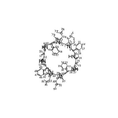 CC1=C(CC(C)C)C2=NC1=C(c1ccccc1)c1ccc([nH]1)C(C)(C)c1ccc([nH]1)/C(c1ccccc1)=C1/N=C(C3=N/C(=C(\c4ccccc4)c4ccc([nH]4)C(C)(C)c4ccc([nH]4)/C(c4ccccc4)=C4/N=C2C(CC(C)C)=C4C)C(C)=C3CC(C)C)C(CC(C)C)=C1C